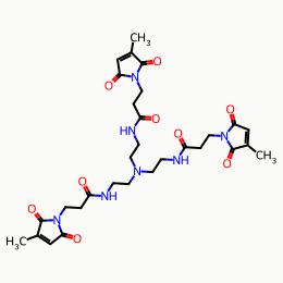 CC1=CC(=O)N(CCC(=O)NCCN(CCNC(=O)CCN2C(=O)C=C(C)C2=O)CCNC(=O)CCN2C(=O)C=C(C)C2=O)C1=O